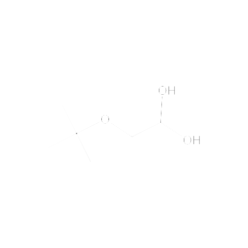 CC(C)(C)OCC(O)O